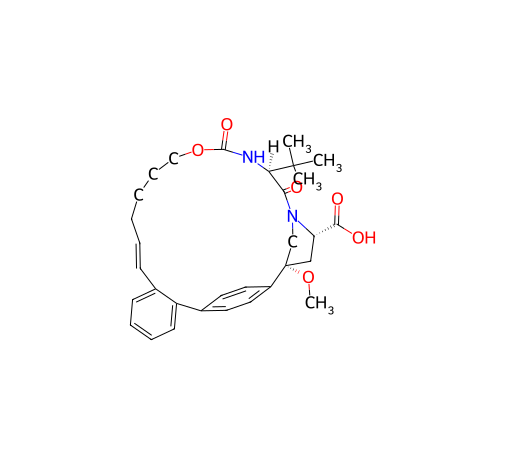 CO[C@@]12C[C@@H](C(=O)O)N(C1)C(=O)[C@H](C(C)(C)C)NC(=O)OCCCC/C=C/c1ccccc1-c1ccc2cc1